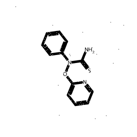 NC(=S)N(Oc1ccccn1)c1ccccc1